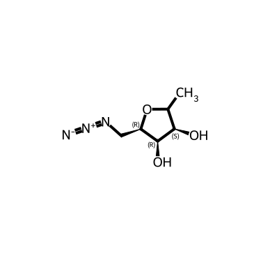 CC1O[C@H](CN=[N+]=[N-])[C@H](O)[C@@H]1O